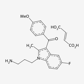 COc1ccc(C(=O)c2c(C)n(CCCN)c3ccc(F)cc23)cc1.O=C(O)C=CC(=O)O